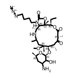 CC[C@H]1OC(=O)[C@H](C)C(=O)[C@H](C)[C@@H](O[C@@H]2O[C@H](C)CC(N)C2O)[C@](C)(OC)CC(C)N[C@H](C)[C@H]2N(CCCCN=[N+]=[N-])C(=O)O[C@]12C